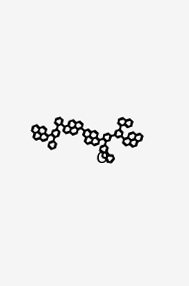 c1ccc(-c2ccc(-c3ccccc3-c3ccc4ccc5c(-c6cc7ccc8ccc(-c9ccc(-c%10cc(-c%11cccc%12ccccc%11%12)cc(-c%11ccc%12ccc%13cccc%14ccc%11c%12c%13%14)c%10)cc9-c9ccc%10oc%11ccccc%11c%10c9)c9ccc(c6)c7c89)ccc6ccc3c4c65)cc2-c2ccc3ccc4cccc5ccc2c3c45)cc1